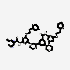 C=C/C=C(\C=C/C)C(=O)Nc1nc(OCCc2ccccn2)cc(N2CCOC(c3cccc(C(=O)Nc4nc(OCCc5ccccn5)cc(N5CCOCC5)n4)c3)C2)n1